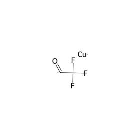 O=[C]C(F)(F)F.[Cu]